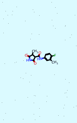 Cc1cc(NC(=O)C2C(=O)NC(=O)C2C)ccc1F